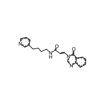 O=C(/C=C/n1cnc2ccccc2c1=O)NCCCCc1cccnc1